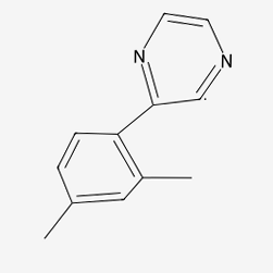 Cc1ccc(-c2[c]nccn2)c(C)c1